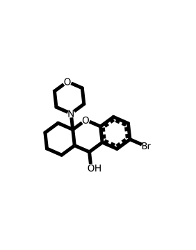 OC1c2cc(Br)ccc2OC2(N3CCOCC3)CCCCC12